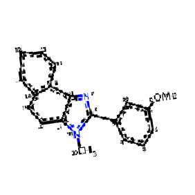 COc1cccc(-c2nc3c4ccccc4ccc3n2C)c1